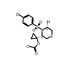 CC[C@@H]1CSC[C@H](C2(OC(=O)Cl)CC2)N1S(=O)(=O)c1ccc(Cl)cc1